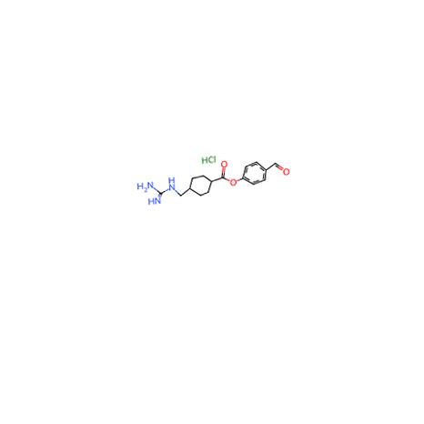 Cl.N=C(N)NCC1CCC(C(=O)Oc2ccc(C=O)cc2)CC1